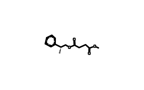 COC(=O)CCC(=O)OC[C@H](C)c1ccccc1